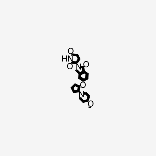 COC1CCN([C@H]2CCCC2Oc2ccc3c(c2)CN(C2CCC(=O)NC2=O)C3=O)CC1